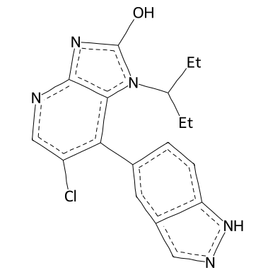 CCC(CC)n1c(O)nc2ncc(Cl)c(-c3ccc4[nH]ncc4c3)c21